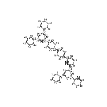 c1ccc(-c2cc(-c3ccccn3)nc(-c3cccc(-c4ccc(-c5ccc(-c6nc(-c7ccccc7)nc(-c7ccccc7)n6)cc5)cc4)n3)c2)cc1